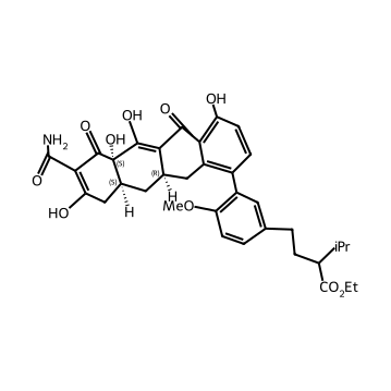 CCOC(=O)C(CCc1ccc(OC)c(-c2ccc(O)c3c2C[C@H]2C[C@H]4CC(O)=C(C(N)=O)C(=O)[C@@]4(O)C(O)=C2C3=O)c1)C(C)C